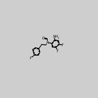 Nc1cc(F)c(F)cc1N(C=O)CCc1ccc(F)cc1